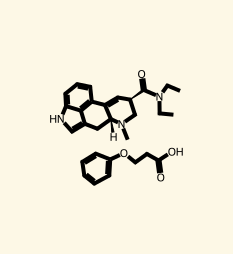 CCN(CC)C(=O)[C@@H]1C=C2c3cccc4[nH]cc(c34)C[C@H]2N(C)C1.O=C(O)CCOc1ccccc1